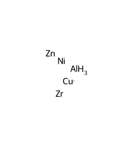 [AlH3].[Cu].[Ni].[Zn].[Zr]